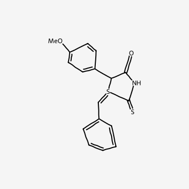 COc1ccc(C2C(=O)NC(=S)S2=Cc2ccccc2)cc1